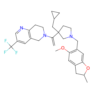 C=C(N1CCc2ncc(C(F)(F)F)cc2C1)C1(CC2CC2)CCN(Cc2cc3c(cc2OC)CC(C)O3)C1